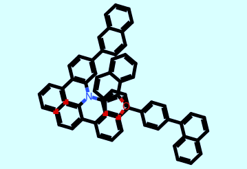 c1ccc(-c2ccc(-c3ccc4ccccc4c3)cc2N(c2ccc(-c3ccc(-c4cccc5ccccc45)cc3)cc2)c2ccccc2-c2cccc3oc4c5ccccc5ccc4c23)cc1